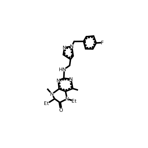 CCC1C(=O)N(CC)c2c(C)nc(NCc3cnn(Cc4ccc(F)cc4)c3)nc2N1C